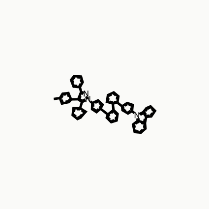 Cc1ccc(-c2c(-c3ccccc3)nn(-c3ccc(-c4ccccc4-c4ccccc4-c4ccc(-n5c6ccccc6c6ccccc65)cc4)cc3)c2-c2ccccc2)cc1